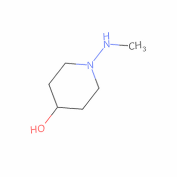 CNN1CCC(O)CC1